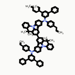 C=C/C=C\C(=C/C)c1cc(-c2ccccc2)cc(N(c2ccc(CC=C)cc2)c2ccc3c(c2)c2cc(-c4cc5c6c(c4)c4cc(N(c7ccc(C=C)cc7)c7cc(-c8ccccc8)cc(-c8ccccc8)c7)ccc4n6-c4ccccc4C5(C)C)cc4c2n3-c2ccccc2C4(C)C)c1